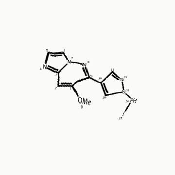 COc1cc2nccn2nc1-c1cnn(PI)c1